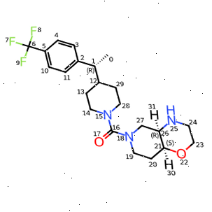 C[C@@H](c1ccc(C(F)(F)F)cc1)C1CCN(C(=O)N2CC[C@@H]3OCCN[C@@H]3C2)CC1